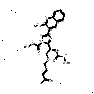 CCC(=O)/C=C/COCC(NC(=O)OC(C)(C)C)c1nc(-c2cc3ccccc3nc2OC)cn1C(=O)OC(C)(C)C